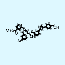 COC(=O)c1ccnc(CN(CCN(C)Cc2cccc(-c3ncc(-c4ccc(CO)cc4)s3)n2)Cc2cc(C(C)=O)ccn2)c1